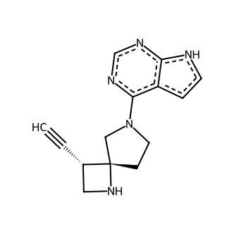 C#C[C@H]1CN[C@]12CCN(c1ncnc3[nH]ccc13)C2